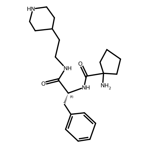 NC1(C(=O)N[C@H](Cc2ccccc2)C(=O)NCCC2CCNCC2)CCCC1